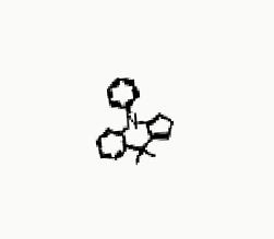 CC1(C)C2=CCC=C2N(c2ccccc2)c2ccccc21